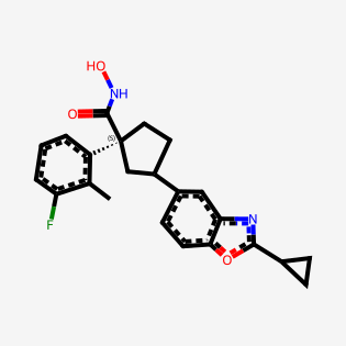 Cc1c(F)cccc1[C@]1(C(=O)NO)CCC(c2ccc3oc(C4CC4)nc3c2)C1